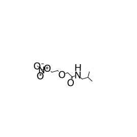 CC(C)CNC(=O)COCCO[N+](=O)[O-]